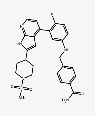 CS(=O)(=O)N1CCC(c2cc3c(-c4cc(NCc5ccc(C(N)=O)cc5)ccc4F)ccnc3[nH]2)CC1